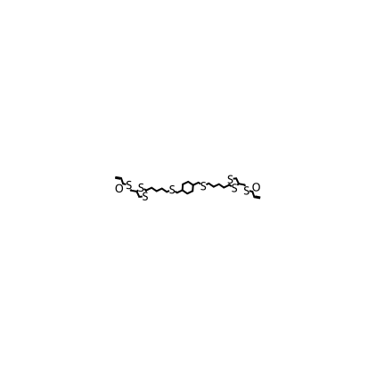 C=CC(=O)SCC1CSC(CCCCSCC2CCC(CSCCCCC3SCC(CSC(=O)C=C)S3)CC2)S1